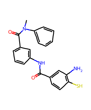 CN(C(=O)c1cccc(NC(=O)c2ccc(S)c(N)c2)c1)c1ccccc1